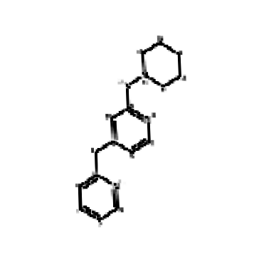 c1ccc(Cc2ccnc(SN3CCCCC3)c2)nc1